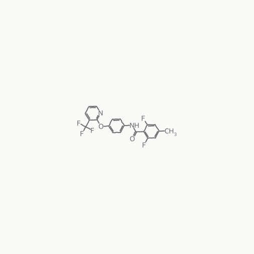 Cc1cc(F)c(C(=O)Nc2ccc(Oc3ncccc3C(F)(F)F)cc2)c(F)c1